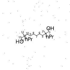 CCCC(C)(CO)CCCCCCC(C)(CO)CCC